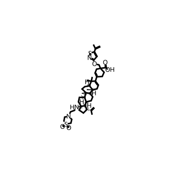 C=C(C)c1cc(OCC2(C(=O)O)CC=C(C3=CC[C@]4(C)[C@H]5CC[C@@H]6[C@H]7[C@H](C(=C)C)CC[C@]7(NCCN7CCS(=O)(=O)CC7)CC[C@@]6(C)[C@]5(C)CC[C@H]4C3(C)C)CC2)ns1